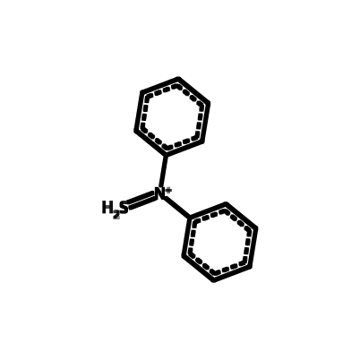 [SH2]=[N+](c1ccccc1)c1ccccc1